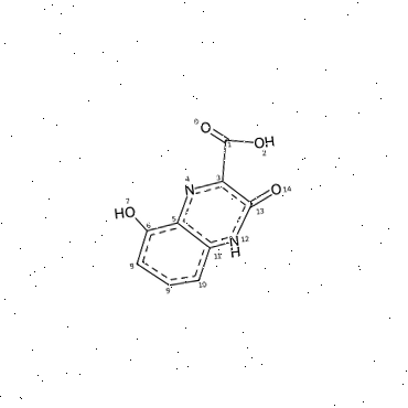 O=C(O)c1nc2c(O)cccc2[nH]c1=O